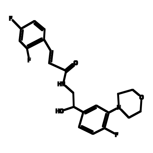 O=C(C=Cc1ccc(F)cc1F)NCC(O)c1ccc(F)c(N2CCOCC2)c1